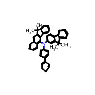 CC1(C)c2ccccc2-c2ccc(N(c3ccc(C4=CCCC=C4)cc3)c3c4c(cc5ccccc35)C(C)(C)c3ccccc3-4)cc21